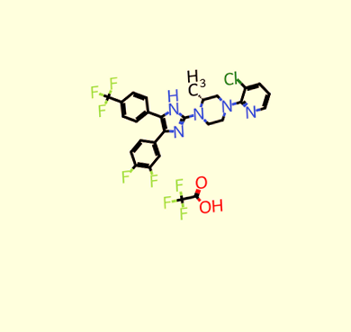 C[C@@H]1CN(c2ncccc2Cl)CCN1c1nc(-c2ccc(F)c(F)c2)c(-c2ccc(C(F)(F)F)cc2)[nH]1.O=C(O)C(F)(F)F